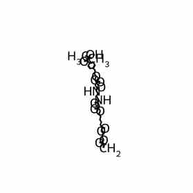 C=CC(=O)OCCOC(=O)CCCCCOC(=O)CC(=O)NCCNC(=O)CC(=O)OOCCc1ccc(C(=O)C(C)(C)O)cc1